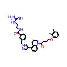 Cc1cccc(OCCCC(=O)N2CCCc3c(-c4cnn(Cc5cccc(C(=O)NCCNC(=N)N)c5)c4)cccc32)c1C